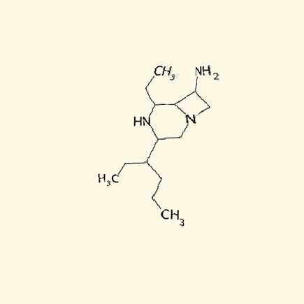 CCCC(CC)C1CN2CC(N)C2C(CC)N1